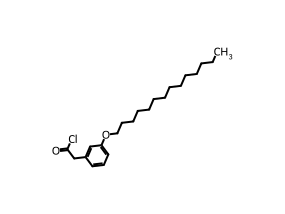 CCCCCCCCCCCCCCOc1cccc(CC(=O)Cl)c1